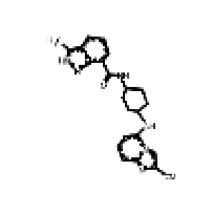 Cc1[nH]nc2c(C(=O)NC3CCC(Nc4cccc5nc(C#N)cn45)CC3)cccc12